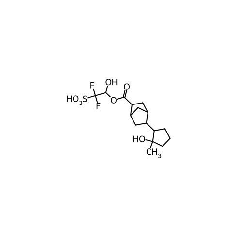 CC1(O)CCCC1C1CC2CC1CC2C(=O)OC(O)C(F)(F)S(=O)(=O)O